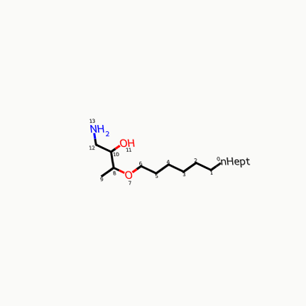 CCCCCCCCCCCCCOC(C)C(O)CN